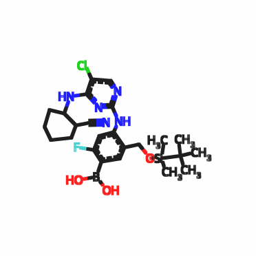 CC(C)(C)[Si](C)(C)OCc1cc(B(O)O)c(F)cc1Nc1ncc(Cl)c(NC2CCCCC2C#N)n1